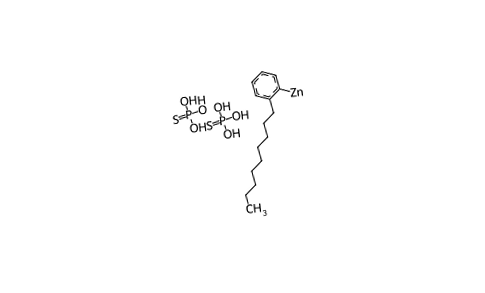 CCCCCCCCCc1cccc[c]1[Zn].OP(O)(O)=S.OP(O)(O)=S